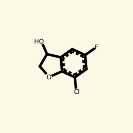 OC1COc2c(Cl)cc(F)cc21